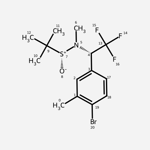 Cc1cc([C@H](N(C)[S@+]([O-])C(C)(C)C)C(F)(F)F)ccc1Br